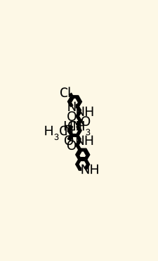 CN(C)C(=O)C(CNC(=O)C(=O)Nc1ccc(Cl)cn1)NC(=O)c1ccc2c(c1)CCNC2